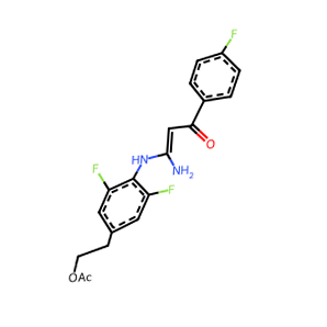 CC(=O)OCCc1cc(F)c(N/C(N)=C/C(=O)c2ccc(F)cc2)c(F)c1